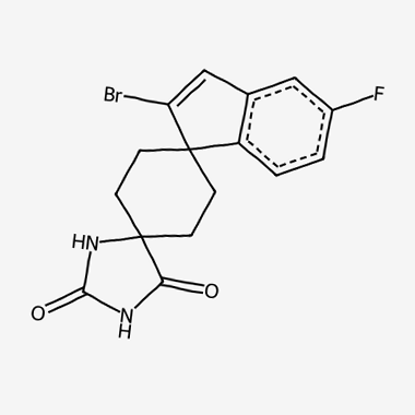 O=C1NC(=O)C2(CCC3(CC2)C(Br)=Cc2cc(F)ccc23)N1